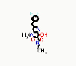 CCCNC(=O)c1c(O)c2ncc(Cc3ccc(F)c(F)c3)cc2n(C)c1=O